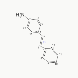 Nc1ccc(/C=C/c2ccccn2)cc1